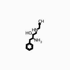 C#CCNC[C@@H](O)[C@@H](N)Cc1ccccc1